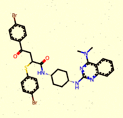 CN(C)c1nc(N[C@H]2CC[C@@H](NC(=O)C(CC(=O)c3ccc(Br)cc3)Sc3ccc(Br)cc3)CC2)nc2ccccc12